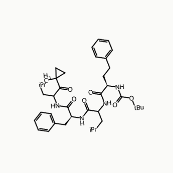 CC(C)CC(NC(=O)[C@@H](CCc1ccccc1)NC(=O)OC(C)(C)C)C(=O)N[C@@H](Cc1ccccc1)C(=O)NC(CC(C)C)C(=O)C1(C)CC1